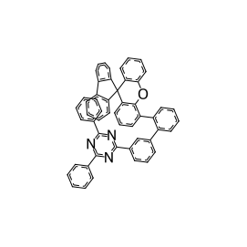 c1ccc(-c2nc(-c3ccccc3)nc(-c3cccc(-c4ccccc4-c4cccc5c4Oc4ccccc4C54c5ccccc5-c5ccccc54)c3)n2)cc1